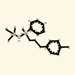 Cc1ccc(CCC[Si](C)(O[Si](C)(C)C)c2ccccc2)cc1